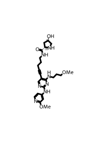 COCCCNc1nc(Nc2ccnc(OC)c2)ncc1C#CCCCNC(=O)[C@@H]1C[C@H](O)CN1